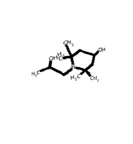 CC(O)CN1C(C)(C)[CH]C(O)CC1(C)C